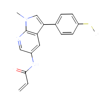 C=CC(=O)Nc1cnc2c(c1)c(-c1ccc(SCC)cc1)cn2C